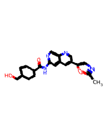 Cc1ncc(-c2cnc3cnc(NC(=O)C4CCC(CO)CC4)cc3c2)o1